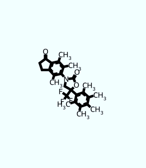 Cc1c(C)c(C)c(C2(C(F)(F)F)CN(c3c(C)c(C)c4c(c3C)CCC4=O)C(=O)O2)c(C)c1C